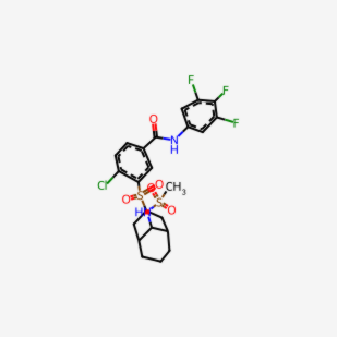 CS(=O)(=O)NC1C2CCCC1CC(S(=O)(=O)c1cc(C(=O)Nc3cc(F)c(F)c(F)c3)ccc1Cl)C2